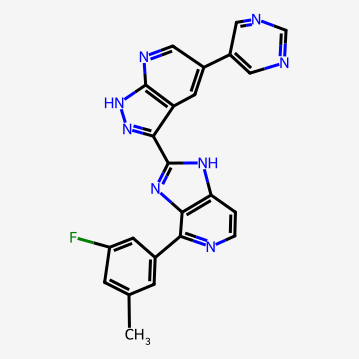 Cc1cc(F)cc(-c2nccc3[nH]c(-c4n[nH]c5ncc(-c6cncnc6)cc45)nc23)c1